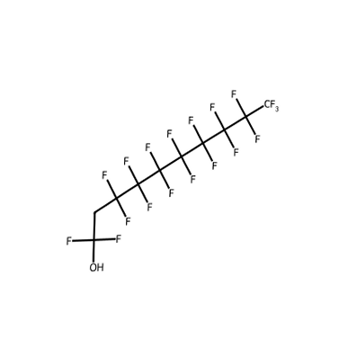 OC(F)(F)CC(F)(F)C(F)(F)C(F)(F)C(F)(F)C(F)(F)C(F)(F)C(F)(F)C(F)(F)F